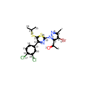 CC(=O)c1c(Br)c(C)nn1-c1nc(-c2ccc(Cl)c(Cl)c2)c(SC(C)C)s1